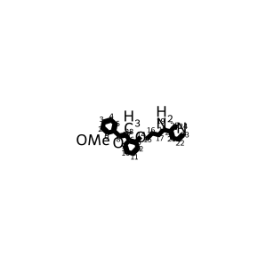 COc1ccccc1-c1oc2cccc(OCCCC(N)c3cccnc3)c2c1C